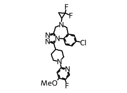 COc1cc(N2CCC(c3nnc4n3-c3ccc(Cl)cc3CN(C3CC3(F)F)C4)CC2)ncc1F